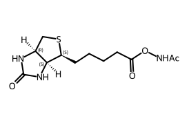 CC(=O)NOC(=O)CCCC[C@@H]1SC[C@@H]2NC(=O)N[C@@H]21